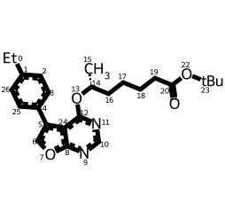 CCc1ccc(-c2coc3ncnc(O[C@H](C)CCCCC(=O)OC(C)(C)C)c23)cc1